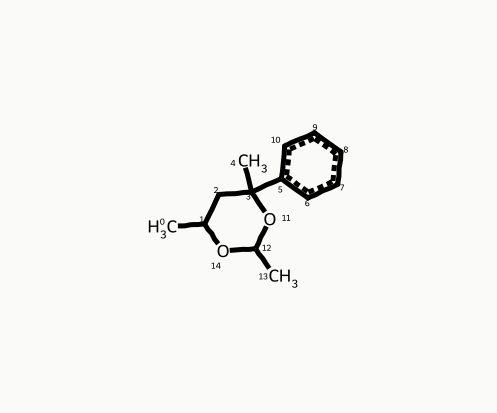 CC1CC(C)(c2ccccc2)OC(C)O1